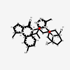 Cc1nnc(C(C)C)n1C1C[C@H]2CC[C@@H](C1)N2CCCn1c(=O)c2ccc(C)n2c2cc(F)ccc21